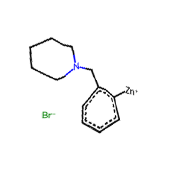 [Br-].[Zn+][c]1ccccc1CN1CCCCC1